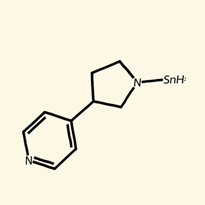 [SnH][N]1CCC(c2ccncc2)C1